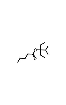 CCCCC(=O)OC(CC)(CC)C(C)C